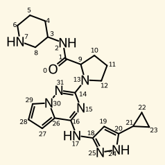 O=C(NC1CCCNC1)C1CCCN1c1nc(Nc2cc(C3CC3)[nH]n2)c2cccn2n1